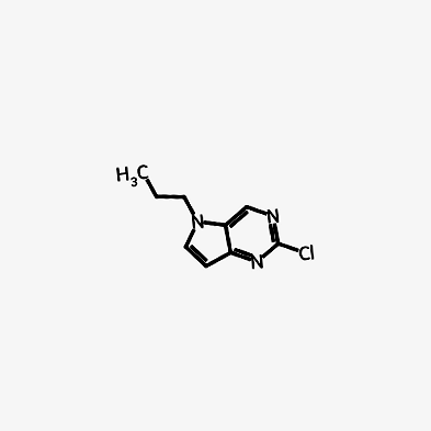 CCCn1ccc2nc(Cl)ncc21